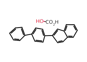 O=C(O)O.c1ccc(-c2ccc(-c3ccc4ccccc4c3)cc2)cc1